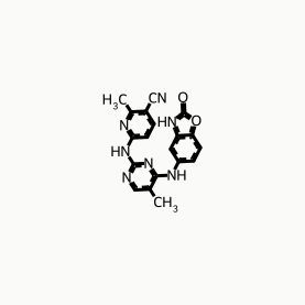 Cc1cnc(Nc2ccc(C#N)c(C)n2)nc1Nc1ccc2oc(=O)[nH]c2c1